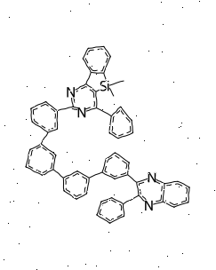 C[Si]1(C)c2ccccc2-c2nc(-c3cccc(-c4cccc(-c5cccc(-c6cccc(-c7nc8ccccc8nc7-c7ccccc7)c6)c5)c4)c3)nc(-c3ccccc3)c21